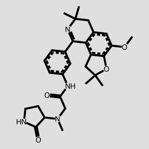 COc1cc2c(c3c1OC(C)(C)C3)C(c1cccc(NC(=O)CN(C)C3CCNC3=O)c1)=NC(C)(C)C2